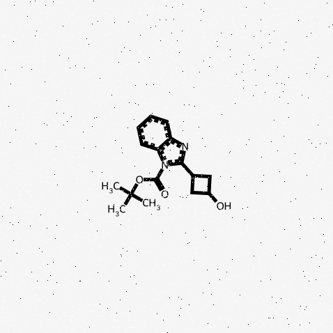 CC(C)(C)OC(=O)n1c(C2CC(O)C2)nc2ccccc21